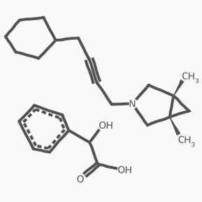 C[C@@]12CN(CC#CCC3CCCCC3)C[C@]1(C)C2.O=C(O)C(O)c1ccccc1